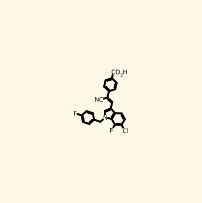 N#C/C(=C\c1cn(Cc2ccc(F)cc2)c2c(F)c(Cl)ccc12)c1ccc(C(=O)O)cc1